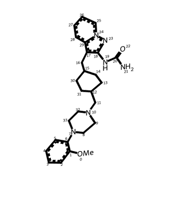 COc1ccccc1N1CCN(CC2CCC(Cc3c(NC(N)=O)nn4ccccc34)CC2)CC1